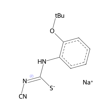 CC(C)(C)Oc1ccccc1N/C([S-])=N/C#N.[Na+]